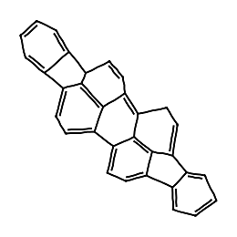 C1=CC2c3ccccc3-c3ccc4c(c1c1c5c6c(ccc54)-c4ccccc4C6=CC1)c32